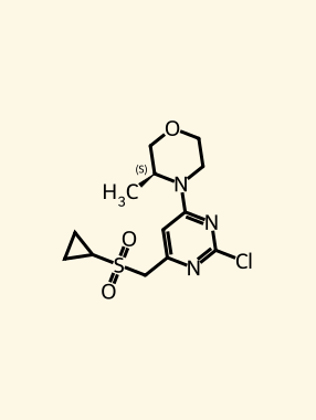 C[C@H]1COCCN1c1cc(CS(=O)(=O)C2CC2)nc(Cl)n1